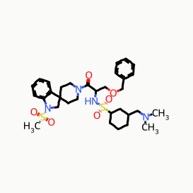 CN(C)CC1CCCC(S(=O)(=O)NC(COCc2ccccc2)C(=O)N2CCC3(CC2)CN(S(C)(=O)=O)c2ccccc23)C1